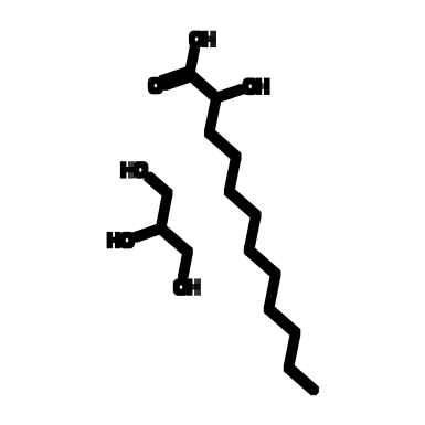 CCCCCCCCCCC(O)C(=O)O.OCC(O)CO